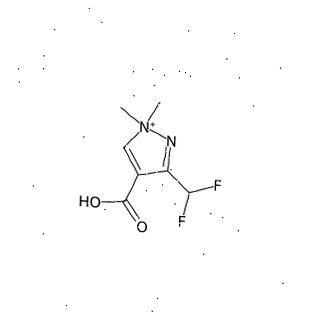 C[N+]1(C)C=C(C(=O)O)C(C(F)F)=N1